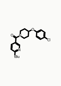 CC(C)(C)c1ccc(C(=O)N2CCC(Oc3ccc(Cl)cc3)CC2)cn1